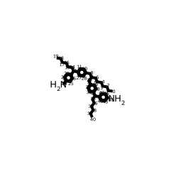 CCCCCCCC(Cc1ccc(C(CCCCCC)c2ccc(N)cc2)cc1)Cc1ccc(C(CCCCCC)c2ccc(N)cc2)cc1